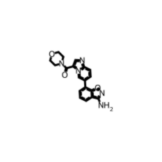 Nc1noc2c(-c3ccc4ncc(C(=O)N5CCOCC5)n4c3)cccc12